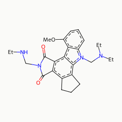 CCNCN1C(=O)c2c3c(c4c(c2C1=O)c1c(OC)cccc1n4CN(CC)CC)CCC3